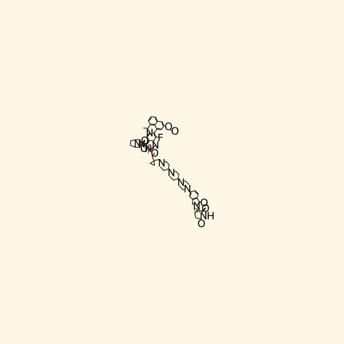 CCc1cccc2cc(OCOC)cc(-c3ncc4c(N5CC6CCC(C5)N6C(=O)OC(C)(C)C)nc(OCC5(CN6CCC(N7CCC(N8CCN(c9ccc%10c(c9)CN([C@H]9CCC(=O)NC9=O)C%10=O)CC8)CC7)CC6)CC5)nc4c3F)c12